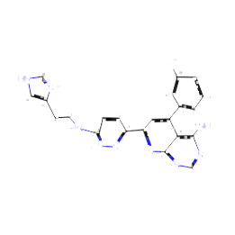 Nc1ncnc2nc(-c3ccc(NCCc4c[nH]cn4)nn3)cc(-c3cccc(Br)c3)c12